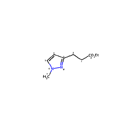 CCOC(=O)CCc1ccn(C)n1